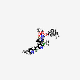 CC(C)(C)OC(=O)N(COCC[Si](C)(C)C)C1=NC(C)(c2cc(/C=C(\F)c3ccc(C#N)cn3)cnc2F)C2CC2(C(=O)O)S1